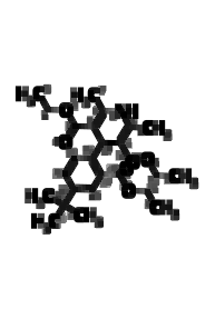 CCOC(=O)C1=C(C)NC(C)=C(C(=O)OCC)C1c1ccc(C(C)(C)C)cc1C(=O)OCC